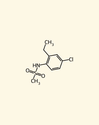 CCc1cc(Cl)ccc1NS(C)(=O)=O